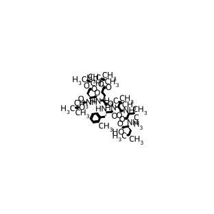 Cc1ccccc1C[C@H](NC(=O)[C@H](CCC(=O)OC(C)(C)C)NC(=O)[C@H](CC(=O)OC(C)(C)C)NC(=O)OC(C)(C)C)C(=O)N[C@H](C(=O)N[C@H](C(=O)N[C@@H](CC(C)C)C(=O)O)C(C)C)C(C)(C)C